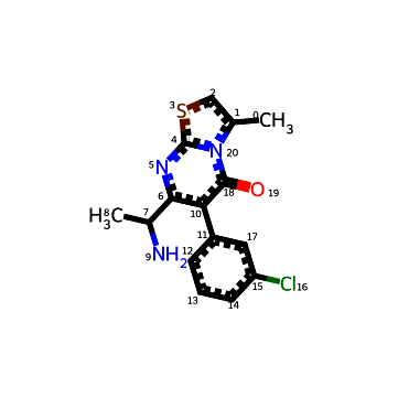 Cc1csc2nc(C(C)N)c(-c3cccc(Cl)c3)c(=O)n12